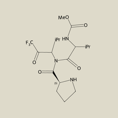 COC(=O)NC(C(=O)N(C(=O)[C@@H]1CCCN1)C(C(=O)C(F)(F)F)C(C)C)C(C)C